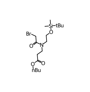 CCCCOC(=O)CCN(CCO[Si](C)(C)C(C)(C)C)C(=O)CBr